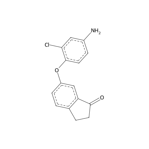 Nc1ccc(Oc2ccc3c(c2)C(=O)CC3)c(Cl)c1